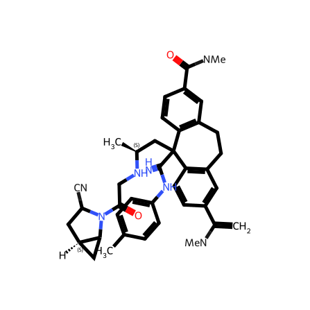 C=C(NC)c1ccc2c(c1)CCc1cc(C(=O)NC)ccc1C2(C[C@H](C)NCC(=O)N1C(C#N)C[C@@H]2CC21)C(=N)Nc1ccc(C)cc1